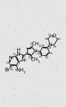 Cc1cc(-c2nc3c(N)c(Br)cnc3[nH]2)c(C)n1-c1cccc(N2CCOCC2)c1